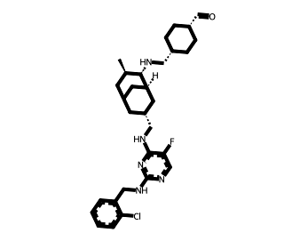 C[C@@H]1CC2C[C@@H](CNc3nc(NCc4ccccc4Cl)ncc3F)C[C@@H](C2)[C@H]1NC[C@H]1CC[C@@H](C=O)CC1